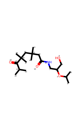 CC(C)OC(CO)CNC(=O)CC(C)(C)CC(C)(C)C(=O)C(C)C